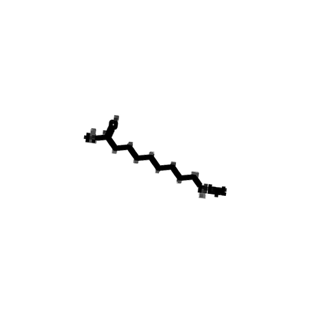 C[CH]C(=O)CCCCCCCCCCCCCCC